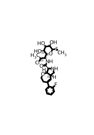 CSC1O[C@H]([C@H](NC(=O)[C@H]2NC[C@@H]3C=C(c4ccccc4F)CCO[C@@H]23)[C@H](C)Cl)[C@@H](O)C(O)[C@H]1O